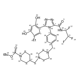 CCc1cc(-c2nnc(C(=O)NC(F)C(F)F)n2-c2ccc(CN3CCN(CC4CCN(C(=O)OC(C)(C)C)CC4)CC3)cc2)c(O)cc1O